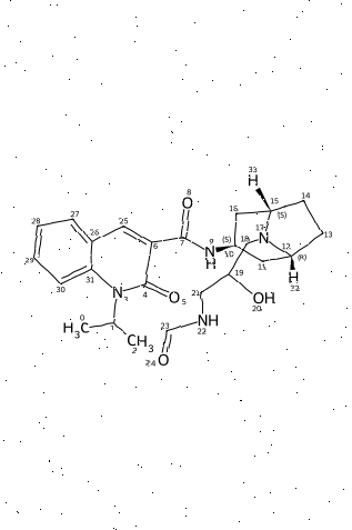 CC(C)n1c(=O)c(C(=O)N[C@@H]2C[C@H]3CC[C@@H](C2)N3CC(O)CNC=O)cc2ccccc21